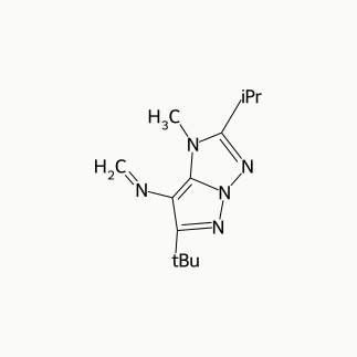 C=Nc1c(C(C)(C)C)nn2nc(C(C)C)n(C)c12